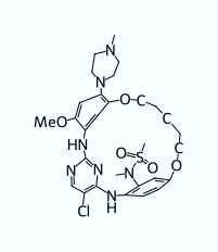 COc1cc(N2CCN(C)CC2)c2cc1Nc1ncc(Cl)c(n1)Nc1ccc(cc1N(C)S(C)(=O)=O)OCCCCCO2